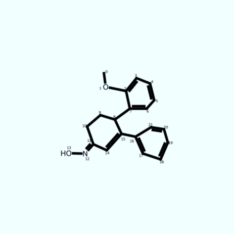 COc1ccccc1C1CCC(=NO)C=C1c1ccccc1